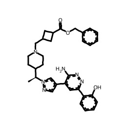 C[C@@H](C1CCN(CC2CC(C(=O)OCc3ccccc3)C2)CC1)n1cc(-c2cc(-c3ccccc3O)nnc2N)cn1